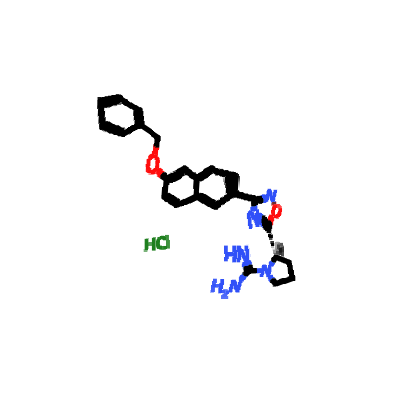 Cl.N=C(N)N1CCC[C@H]1c1nc(-c2ccc3cc(OCc4ccccc4)ccc3c2)no1